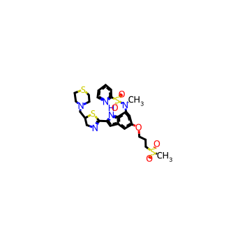 CN(c1cc(OCCCS(C)(=O)=O)cc2cc(C3=NCC(CN4CCSCC4)S3)[nH]c12)S(=O)(=O)c1ccccn1